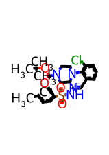 Cc1ccc(S(=O)(=O)N/N=C/c2cccc(Cl)c2N2CCN(C(=O)OC(C)(C)C)CC2)cc1